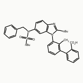 CCCCc1nc2ccc(N(Cc3ccccc3)S(=O)(=O)CCCC)cc2n1-c1cccc(-c2ccccc2C(=O)O)c1C